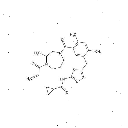 C=CC(=O)N1CCCN(C(=O)c2cc(Cc3cnc(NC(=O)C4CC4)s3)c(C)cc2C)CC1C